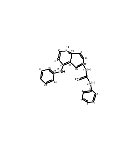 O=C(Nc1ccccc1)Nc1ccc2ncnc(Nc3ccccc3)c2c1